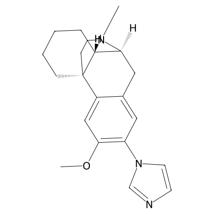 COc1cc2c(cc1-n1ccnc1)C[C@H]1[C@H]3CCCC[C@@]23CCN1C